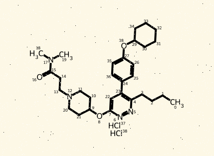 CCCCc1nnc(OC2CCN(CCC(=O)N(C)C)CC2)cc1-c1ccc(OC2CCCCC2)cc1.Cl.Cl